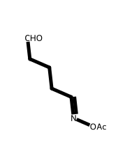 CC(=O)ON=CCCCC=O